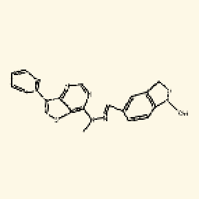 CN(/N=C/c1ccc2c(c1)COB2O)c1ncnc2c(-c3ccccc3)csc12